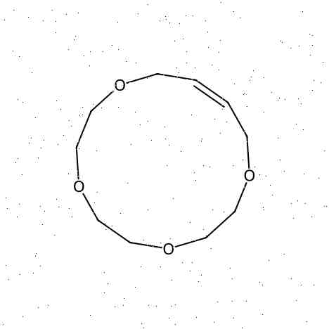 C1=CCOCCOCCOCCOC1